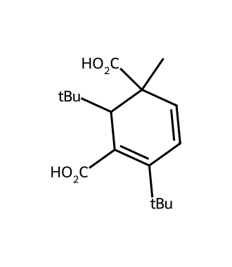 CC(C)(C)C1=C(C(=O)O)C(C(C)(C)C)C(C)(C(=O)O)C=C1